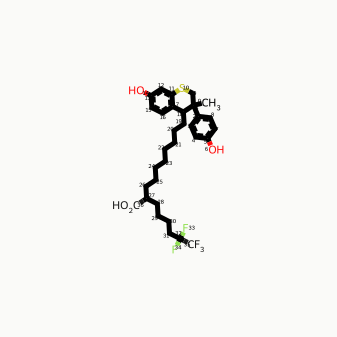 CC1(c2ccc(O)cc2)CSc2cc(O)ccc2C1CCCCCCCCC(CCCCC(F)(F)C(F)(F)F)C(=O)O